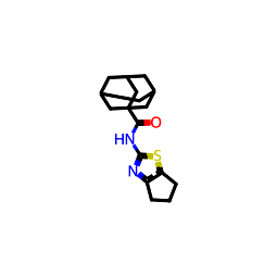 O=C(Nc1nc2c(s1)CCC2)C12CC3CC(CC(C3)C1)C2